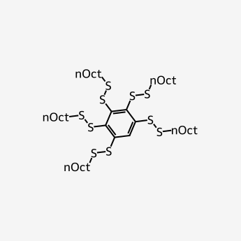 CCCCCCCCSSc1cc(SSCCCCCCCC)c(SSCCCCCCCC)c(SSCCCCCCCC)c1SSCCCCCCCC